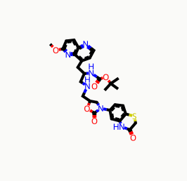 COc1ccc2nccc(CC(CNCC3CN(c4ccc5c(c4)NC(=O)CS5)C(=O)O3)NC(=O)OC(C)(C)C)c2n1